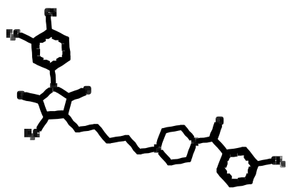 CC1=C(CCCCCN2CCN(C(=O)c3cccc(C(F)(F)F)c3)CC2)C(=O)N(c2ccc(C#N)c(C(F)(F)F)c2)C1=O